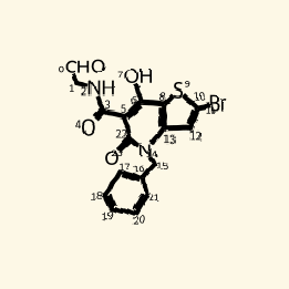 O=CCNC(=O)c1c(O)c2sc(Br)cc2n(Cc2ccccc2)c1=O